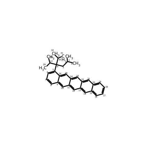 CC(C)CC(c1cccc2cc3cc4cc5ccccc5cc4cc3cc12)(C(C)C)C(C)C